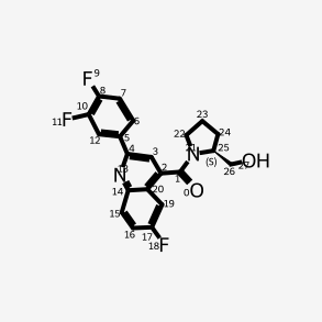 O=C(c1cc(-c2ccc(F)c(F)c2)nc2ccc(F)cc12)N1CCC[C@H]1CO